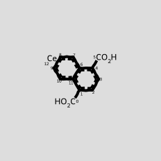 O=C(O)c1ccc(C(=O)O)c2ccccc12.[Ce]